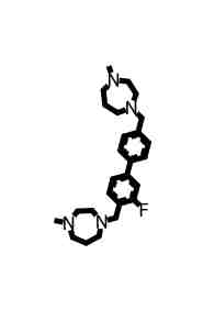 CN1CCCN(Cc2ccc(-c3ccc(CN4CCCN(C)CC4)c(F)c3)cc2)CC1